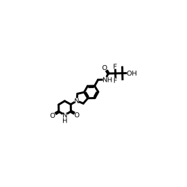 CC(C)(O)C(F)(F)C(=O)NCc1ccc2c(c1)CN(C1CCC(=O)NC1=O)C2